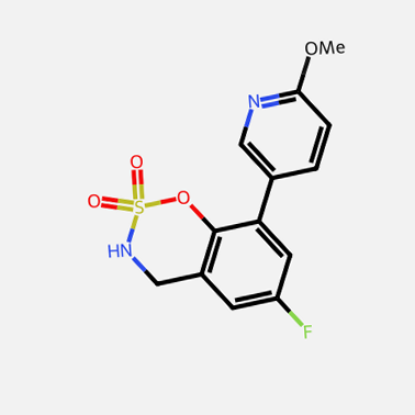 COc1ccc(-c2cc(F)cc3c2OS(=O)(=O)NC3)cn1